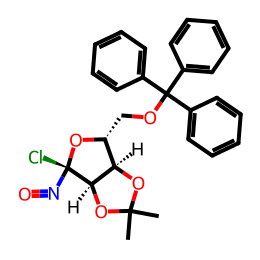 CC1(C)O[C@H]2[C@@H](O1)[C@](Cl)(N=O)O[C@@H]2COC(c1ccccc1)(c1ccccc1)c1ccccc1